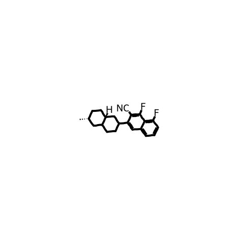 C[C@@H]1CC[C@@H]2CC(c3cc4cccc(F)c4c(F)c3C#N)CCC2C1